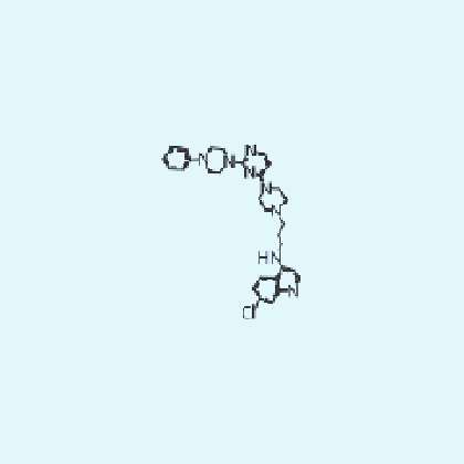 Clc1ccc2c(NCCCN3CCN(c4ccnc(N5CCN(c6ccccc6)CC5)n4)CC3)ccnc2c1